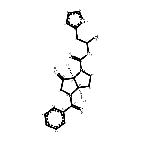 CCC(Cc1cccs1)OC(=O)N1CC[C@@H]2[C@H]1C(=O)CN2C(=O)c1ccccc1